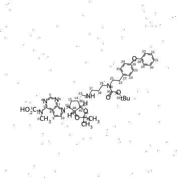 CN(C(=O)O)c1ncnc2c1ccn2[C@@H]1C[C@H](CNCCCN(CCc2ccc(Oc3ccccc3)cc2)C(=O)OC(C)(C)C)[C@H]2OC(C)(C)O[C@H]21